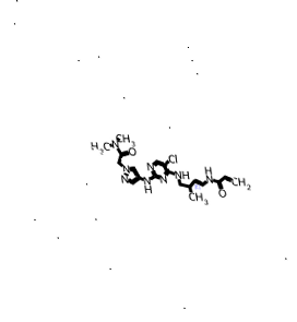 C=CC(=O)N/C=C/C(C)CNc1nc(Nc2cnn(CC(=O)N(C)C)c2)ncc1Cl